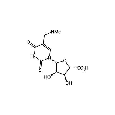 CNCc1cn([C@@H]2O[C@H](C(=O)O)[C@@H](O)[C@H]2O)c(=S)[nH]c1=O